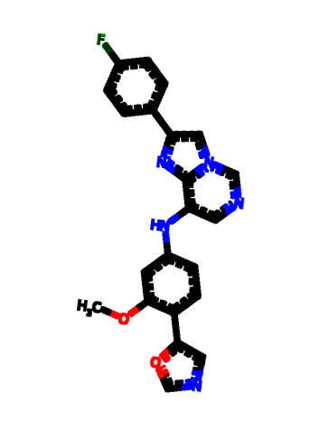 COc1cc(Nc2cncn3cc(-c4ccc(F)cc4)nc23)ccc1-c1cnco1